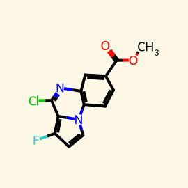 COC(=O)c1ccc2c(c1)nc(Cl)c1c(F)ccn12